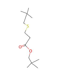 CC(C)(C)COC(=O)CCSCC(C)(C)C